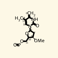 C=C1NC(=O)N(C2C[C@H](OC)C(COP=O)O2)C=C1C